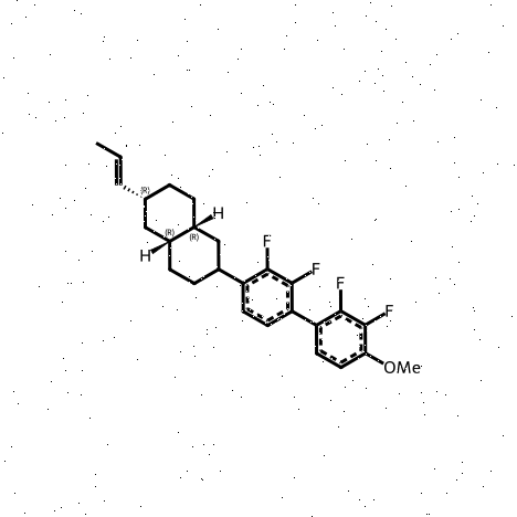 CC=C[C@@H]1CC[C@@H]2CC(c3ccc(-c4ccc(OC)c(F)c4F)c(F)c3F)CC[C@@H]2C1